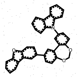 c1ccc2c(c1)oc1ccc(-c3ccc4c(c3)-c3cc(-n5c6ccccc6c6ccccc65)ccc3OCO4)cc12